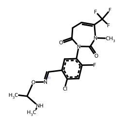 CNC(C)O/N=C/c1cc(N2C(=O)CC=C(C(F)(F)F)N(C)C2=O)c(F)cc1Cl